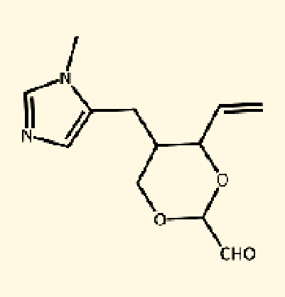 C=CC1OC(C=O)OCC1Cc1cncn1C